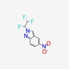 O=[N+]([O-])c1ccc2nn(C(F)C(F)F)cc2c1